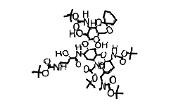 CN(CC1CCC(NC(=O)OC(C)(C)C)[C@@H](OC2C(O)[C@@H](O[C@H]3OC4COC5(CCCCC5)O[C@H]4[C@H](NC(=O)OC(C)(C)C)C3O)[C@H](NC(=O)[C@@H](O)CCNC(=O)OC(C)(C)C)C[C@H]2NC(=O)OC(C)(C)C)O1)C(=O)OC(C)(C)C